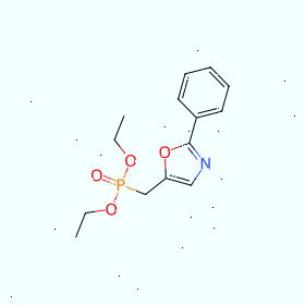 CCOP(=O)(Cc1cnc(-c2ccccc2)o1)OCC